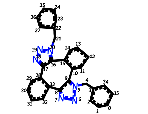 c1ccc(Cn2nnc3c2-c2ccccc2-c2c(nnn2Cc2ccccc2)-c2ccccc2-3)cc1